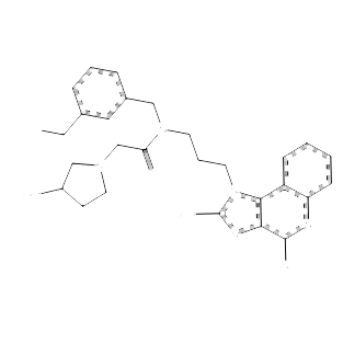 CCCCc1nc2c(N)nc3ccccc3c2n1CCCN(Cc1cccc(CC(=O)O)c1)C(=O)CN1CCC(O)C1